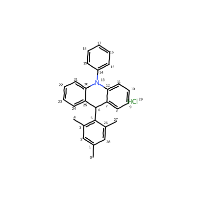 Cc1cc(C)c(C2c3ccccc3N(c3ccccc3)c3ccccc32)c(C)c1.Cl